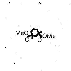 COC(=O)C1(C)CCCC(C)(C(=O)OC)C1